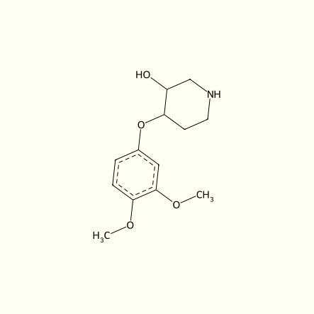 COc1ccc(OC2CCNCC2O)cc1OC